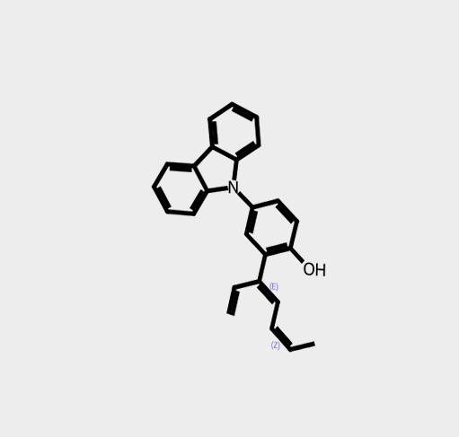 C=C/C(=C\C=C/C)c1cc(-n2c3ccccc3c3ccccc32)ccc1O